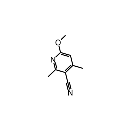 COc1cc(C)c(C#N)c(C)n1